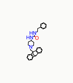 O=C(NCCc1ccccc1)NC1CCN(CC23CC(c4ccccc42)c2ccccc23)CC1